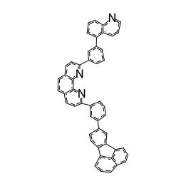 c1cc(-c2ccc3c(c2)-c2cccc4cccc-3c24)cc(-c2ccc3ccc4ccc(-c5cccc(-c6cccc7ncccc67)c5)nc4c3n2)c1